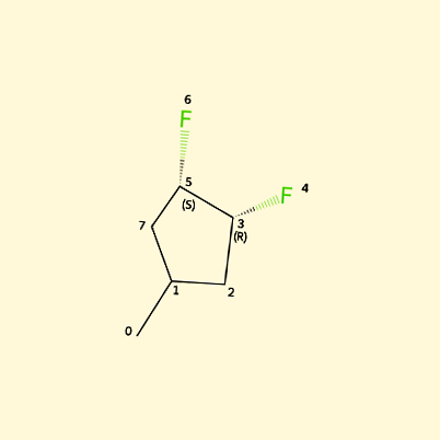 CC1C[C@@H](F)[C@@H](F)C1